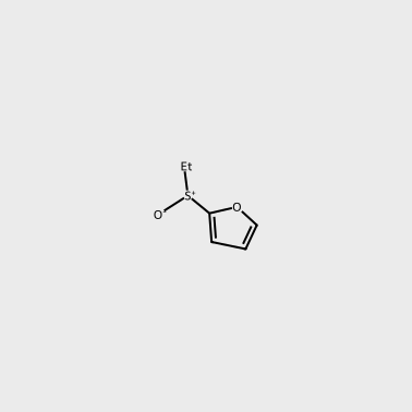 CC[S+]([O-])c1ccco1